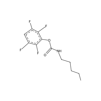 CCCCCNC(=O)Oc1c(F)c(F)cc(F)c1F